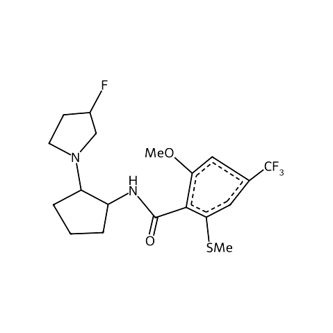 COc1cc(C(F)(F)F)cc(SC)c1C(=O)NC1CCCC1N1CCC(F)C1